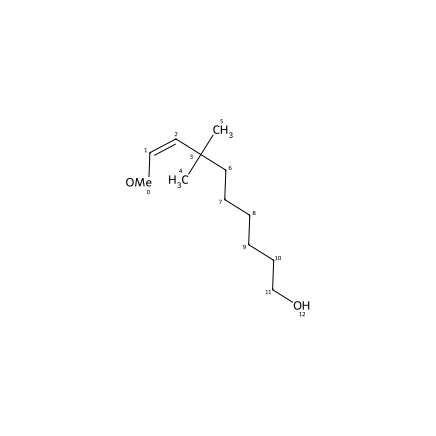 CO/C=C\C(C)(C)CCCCCCO